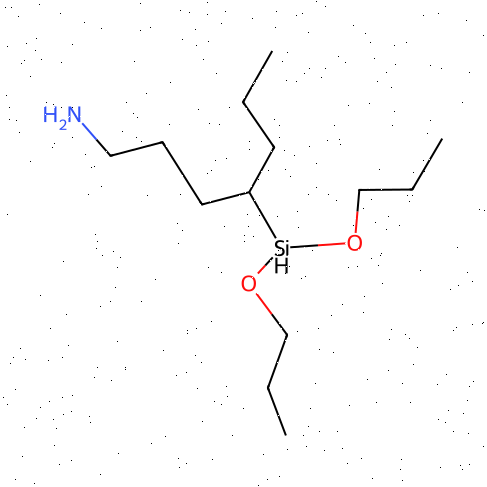 CCCO[SiH](OCCC)C(CCC)CCCN